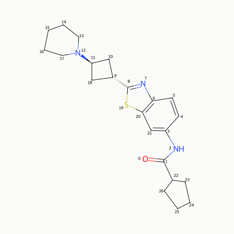 O=C(Nc1ccc2nc([C@H]3C[C@H](N4CCCCC4)C3)sc2c1)C1CCCC1